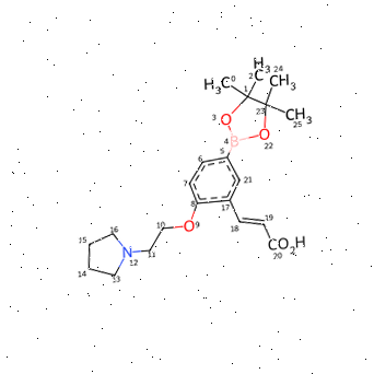 CC1(C)OB(c2ccc(OCCN3CCCC3)c(/C=C/C(=O)O)c2)OC1(C)C